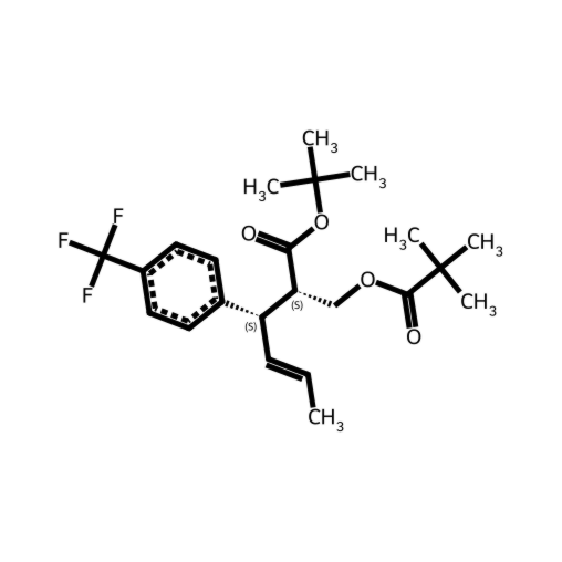 CC=C[C@H](c1ccc(C(F)(F)F)cc1)[C@@H](COC(=O)C(C)(C)C)C(=O)OC(C)(C)C